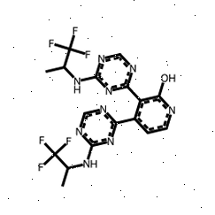 CC(Nc1ncnc(-c2ccnc(O)c2-c2ncnc(NC(C)C(F)(F)F)n2)n1)C(F)(F)F